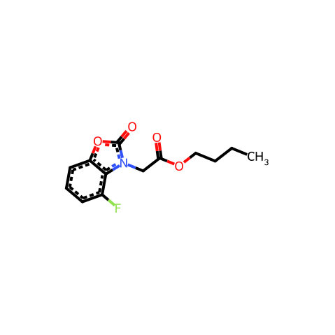 CCCCOC(=O)Cn1c(=O)oc2cccc(F)c21